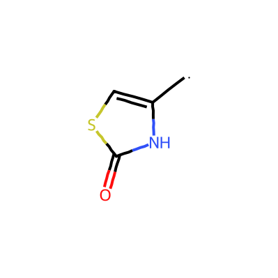 [CH2]c1csc(=O)[nH]1